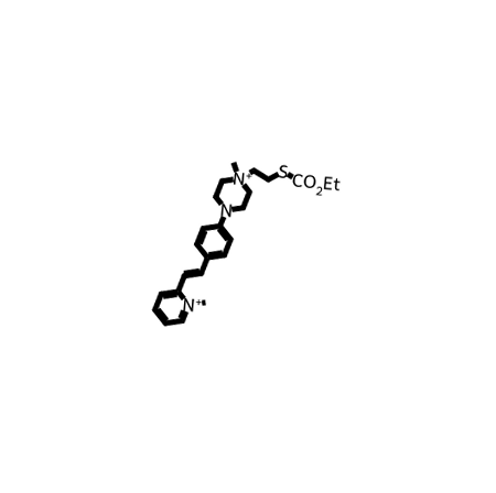 CCOC(=O)SCC[N+]1(C)CCN(c2ccc(/C=C/c3cccc[n+]3C)cc2)CC1